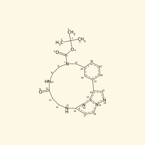 CC(C)(C)OC(=O)N1CCNC(=O)CCNc2ccn3ncc(c3n2)-c2cccc(c2)C1